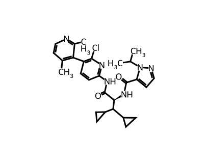 Cc1ccnc(C)c1-c1ccc(NC(=O)[C@@H](NC(=O)c2ccnn2C(C)C)C(C2CC2)C2CC2)nc1Cl